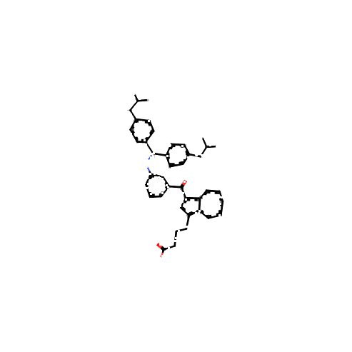 CC(C)Cc1ccc(C(Nc2cccc(C(=O)c3cc(CCCC(=O)O)c4cccccc3-4)c2)c2ccc(CC(C)C)cc2)cc1